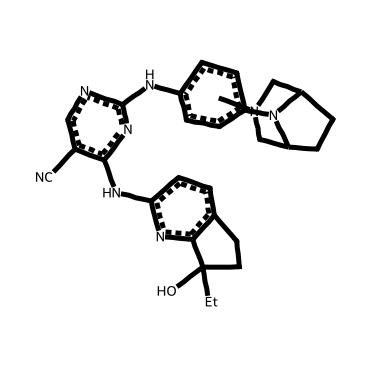 CCC1(O)CCc2ccc(Nc3nc(Nc4ccc(N5C6CCC5CN(C)C6)cc4)ncc3C#N)nc21